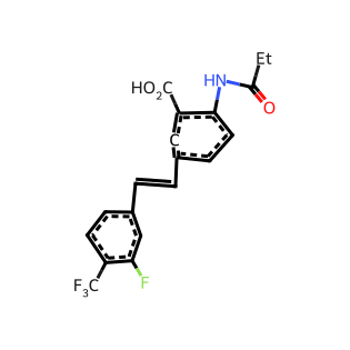 CCC(=O)Nc1ccc(C=Cc2ccc(C(F)(F)F)c(F)c2)cc1C(=O)O